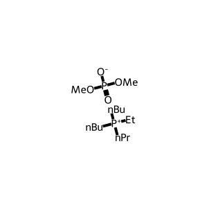 CCCC[P+](CC)(CCC)CCCC.COP(=O)([O-])OC